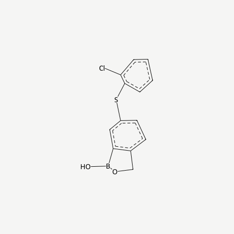 OB1OCc2ccc(Sc3ccccc3Cl)cc21